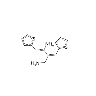 NCC(=Cc1cccs1)C(N)=Cc1cccs1